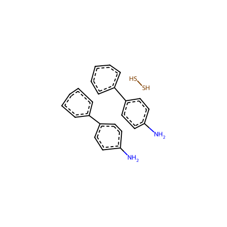 Nc1ccc(-c2ccccc2)cc1.Nc1ccc(-c2ccccc2)cc1.SS